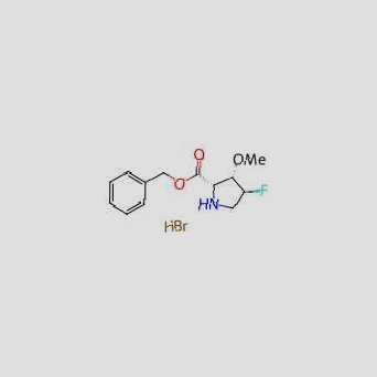 Br.CO[C@H]1[C@@H](C(=O)OCc2ccccc2)NC[C@@H]1F